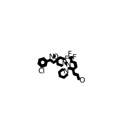 O=C/C=C/C1=C(N2CCCCC2)N(N2CCC3(CC2)CC(c2cccc(Cl)c2)=NO3)C(C(F)(F)F)C=C1